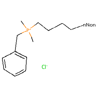 CCCCCCCCCCCCC[P+](C)(C)Cc1ccccc1.[Cl-]